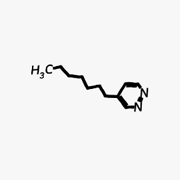 CCCCCCCc1ccnnc1